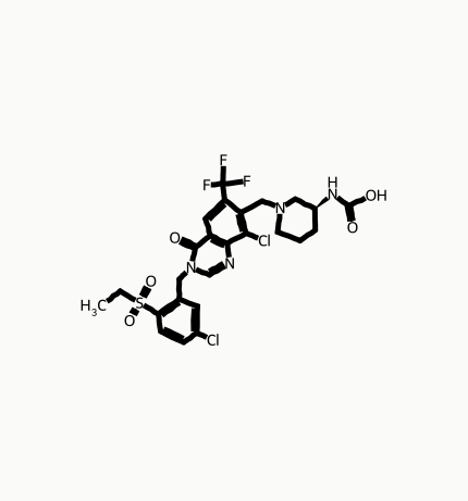 CCS(=O)(=O)c1ccc(Cl)cc1Cn1cnc2c(Cl)c(CN3CCC[C@H](NC(=O)O)C3)c(C(F)(F)F)cc2c1=O